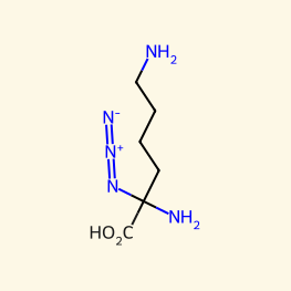 [N-]=[N+]=NC(N)(CCCCN)C(=O)O